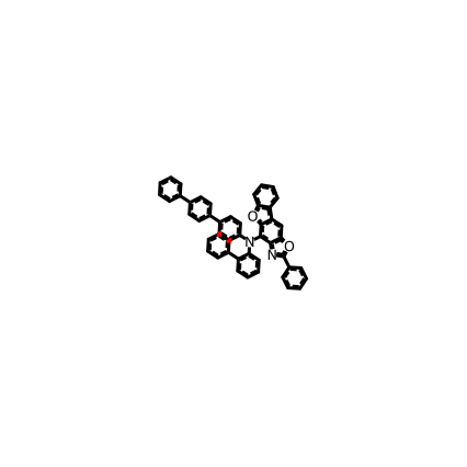 c1ccc(-c2ccc(-c3ccc(N(c4ccccc4-c4ccccc4)c4c5nc(-c6ccccc6)oc5cc5c4oc4ccccc45)cc3)cc2)cc1